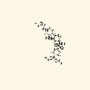 CCCN1CCC2c3ccc(NS(=O)(=O)c4ccc(C(C)C)cc4)cc3NC2C1